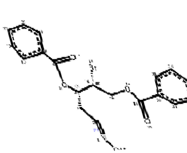 CO/N=C/C[C@H](OC(=O)c1ccccc1)[C@H](Br)COC(=O)c1ccccc1